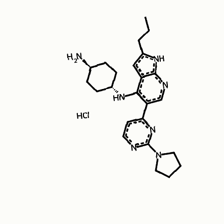 CCCc1cc2c(N[C@H]3CC[C@H](N)CC3)c(-c3ccnc(N4CCCC4)n3)cnc2[nH]1.Cl